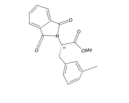 COC(=O)[C@H](Cc1cccc(C)c1)N1C(=O)c2ccccc2C1=O